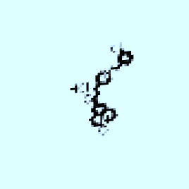 Cl.O=C(CCC1CCN(CCc2cccc(Cl)c2)CC1)c1cc2c3c(c1)CCC(=O)N3CCC2